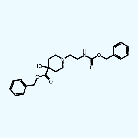 O=C(NCCN1CCC(O)(C(=O)OCc2ccccc2)CC1)OCc1ccccc1